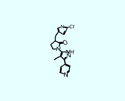 Cc1c(-c2ccncc2)n[nH]c1N1CCC(Cc2ccc(Cl)nc2)C1=O